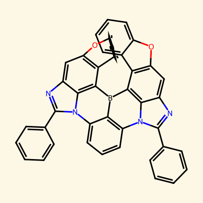 c1ccc(-c2nc3cc4oc5ccccc5c4c4c3n2-c2cccc3c2B4c2c4c(cc5nc(-c6ccccc6)n-3c25)oc2ccccc24)cc1